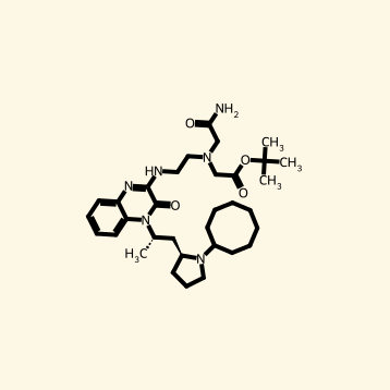 C[C@@H](C[C@@H]1CCCN1C1CCCCCCC1)n1c(=O)c(NCCN(CC(N)=O)CC(=O)OC(C)(C)C)nc2ccccc21